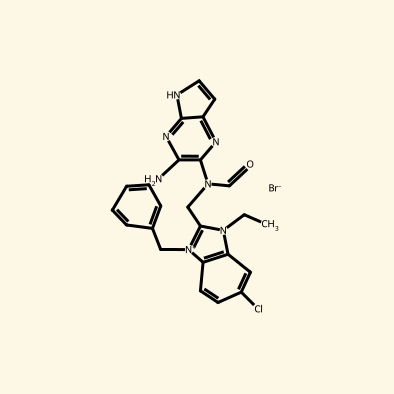 CCn1c(CN(C=O)c2nc3cc[nH]c3nc2N)[n+](Cc2ccccc2)c2ccc(Cl)cc21.[Br-]